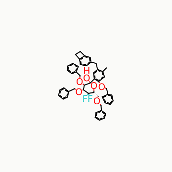 Cc1cc(OCc2ccccc2)c(C2(O)O[C@H](COCc3ccccc3)C(F)(F)[C@H](OCc3ccccc3)[C@H]2OCc2ccccc2)cc1Cc1ccc2c(c1)CC2